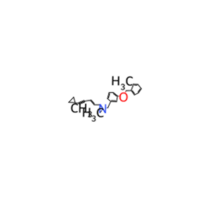 Cc1ccccc1COc1cccc(CN(C)C/C=C/C#CC2(C)CC2)c1